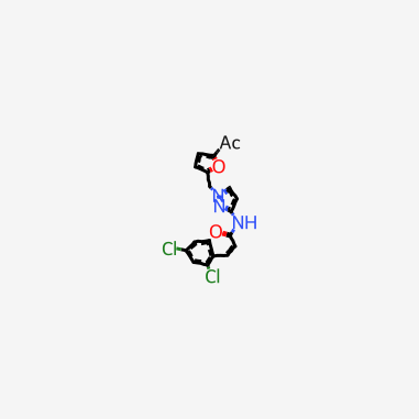 CC(=O)c1ccc(Cn2ccc(NC(=O)/C=C\c3ccc(Cl)cc3Cl)n2)o1